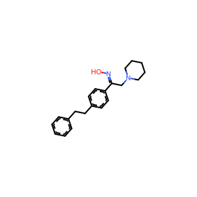 ON=C(CN1CCCCC1)c1ccc(CCc2ccccc2)cc1